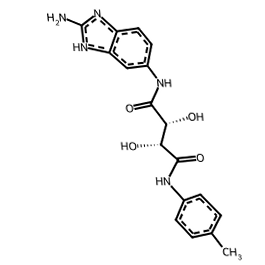 Cc1ccc(NC(=O)[C@H](O)[C@@H](O)C(=O)Nc2ccc3nc(N)[nH]c3c2)cc1